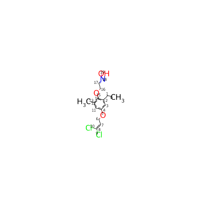 CCc1cc(OCC=C(Cl)Cl)cc(C)c1OC/C=N/O